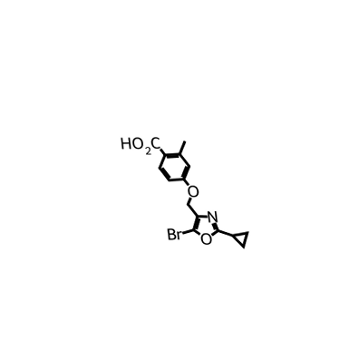 Cc1cc(OCc2nc(C3CC3)oc2Br)ccc1C(=O)O